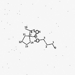 CCCCOC(=O)C1(C(C)C)CCCC1